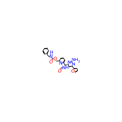 Nc1nc(-c2ccco2)cc(C(NC=O)c2cccc(COC(=O)NCc3ccccc3)n2)n1